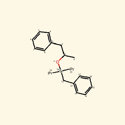 CC(Cc1ccccc1)O[Si](Cc1ccccc1)(C(C)C)C(C)C